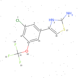 NC1NC(c2cc(Cl)cc(OC(F)(F)F)c2)=CS1